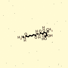 CO[C@H](C(O)CO)[C@H](O)C(O)C(=O)NNC(=O)CCCCC(=O)NN